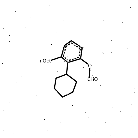 CCCCCCCCc1cc[c]c(OC=O)c1C1CCCCC1